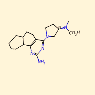 CN(C(=O)O)[C@@H]1CCN(c2nc(N)nc3c2CCC2CCCCC32)C1